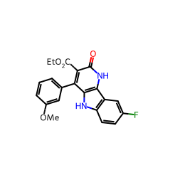 CCOC(=O)c1c(-c2cccc(OC)c2)c2[nH]c3ccc(F)cc3c2[nH]c1=O